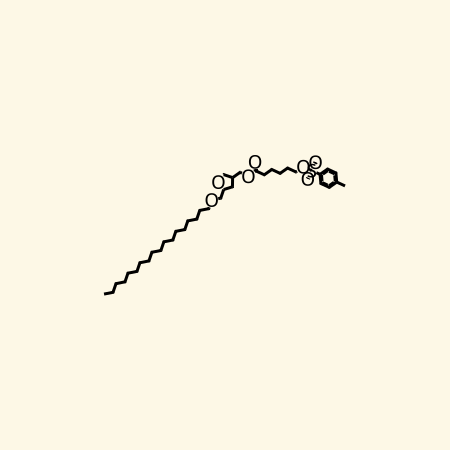 CCCCCCCCCCCCCCCCCCOCC1CC(COC(=O)CCCCCOS(=O)(=O)c2ccc(C)cc2)CO1